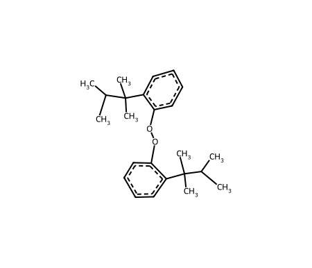 CC(C)C(C)(C)c1ccccc1OOc1ccccc1C(C)(C)C(C)C